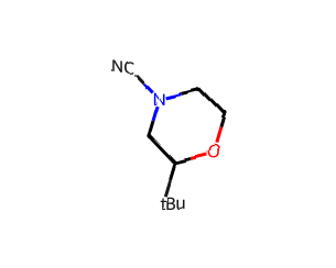 CC(C)(C)C1CN(C#N)CCO1